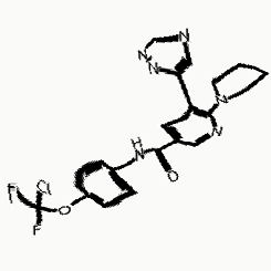 O=C(Nc1ccc(OC(F)(F)Cl)cc1)c1cnc(N2CCCC2)c(-c2cncnn2)c1